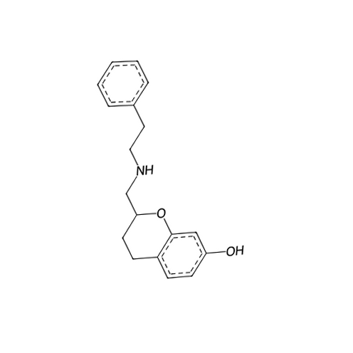 Oc1ccc2c(c1)OC(CNCCc1ccccc1)CC2